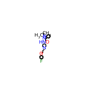 CC(C)n1nc(C(=O)NC2CCN(CCCOc3ccc(F)cc3)CC2)c2ccccc21